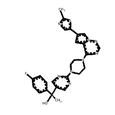 Cc1ncc(-c2cc3c(N4CCN(c5ncc([C@](C)(O)c6ccc(F)cc6)cn5)CC4)ncnn3c2)s1